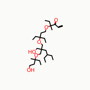 C=CC(=O)C(C)(CC)OCCC(CC)(CC)OCC(CO)(COC(C)(CC)CCO)CC(CC)CC